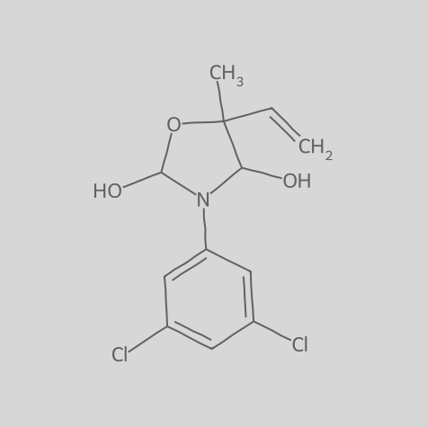 C=CC1(C)OC(O)N(c2cc(Cl)cc(Cl)c2)C1O